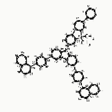 C[Si]1(C)c2cc(-c3ccccc3)ccc2-c2ccc(-n3c4ccc(-c5ccc(-c6cccc7ccccc67)cc5)cc4c4cc(-c5ccc(-c6cccc7ccccc67)cc5)ccc43)cc21